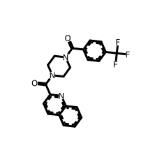 O=C(c1ccc(C(F)(F)F)cc1)N1CCN(C(=O)c2ccc3ccccc3n2)CC1